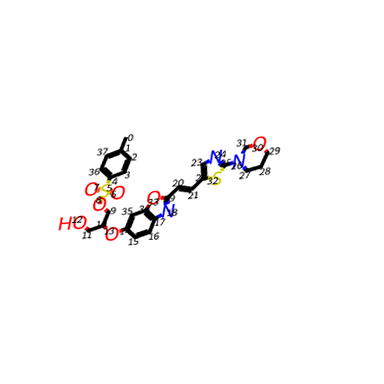 Cc1ccc(S(=O)(=O)OCC(CO)Oc2ccc3nc(/C=C/c4cnc(N5CCCOC5)s4)oc3c2)cc1